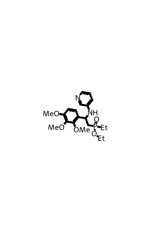 CCOP(=O)(CC)CC(Nc1cccnc1)c1ccc(OC)c(OC)c1OC